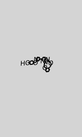 OC1CCC(Oc2cc(-c3ccc4nc5n(c4n3)CCOc3ccccc3CCOC5)ccn2)CC1